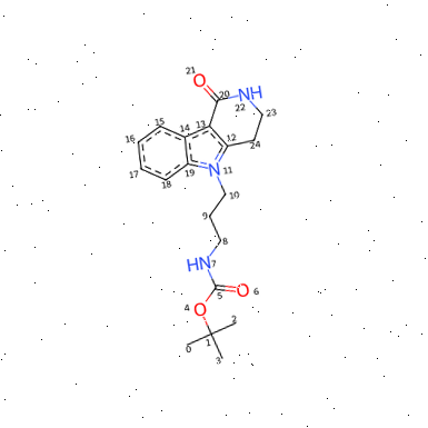 CC(C)(C)OC(=O)NCCCn1c2c(c3ccccc31)C(=O)NCC2